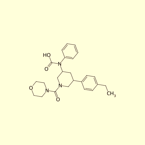 CCc1ccc(C2CC(N(C(=O)O)c3ccccc3)CN(C(=O)N3CCOCC3)C2)cc1